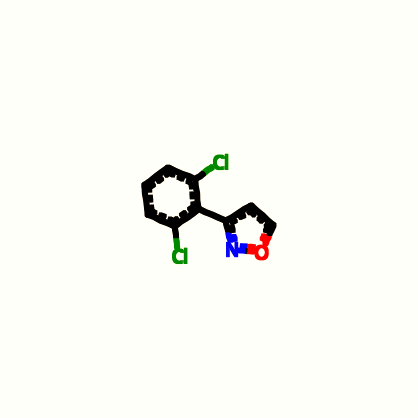 Clc1cccc(Cl)c1-c1ccon1